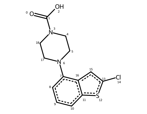 O=C(O)N1CCN(c2cccc3sc(Cl)cc23)CC1